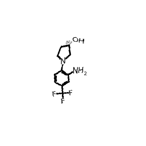 Nc1cc(C(F)(F)F)ccc1N1CC[C@H](O)C1